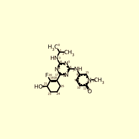 CC(C)Nc1nc(Nc2ccc(=O)n(C)c2)nc(C2=C(F)C(O)CCC2)n1